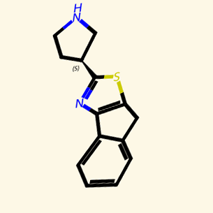 c1ccc2c(c1)Cc1sc([C@H]3CCNC3)nc1-2